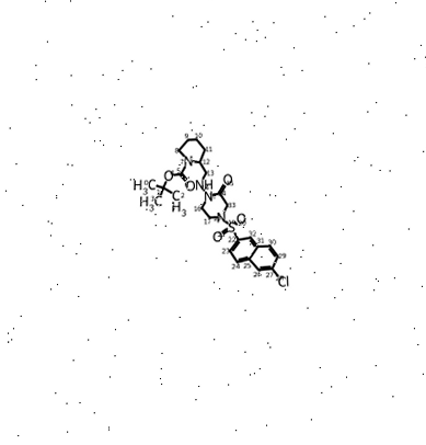 CC(C)(C)OC(=O)N1CCCCC1CNN1CCN(S(=O)(=O)c2ccc3cc(Cl)ccc3c2)CC1=O